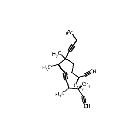 C#CC(C)CCC(C)(C#CCC(C)C)[C](C)C#CC(C)C(C)C#C